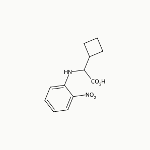 O=C(O)C(Nc1ccccc1[N+](=O)[O-])C1CCC1